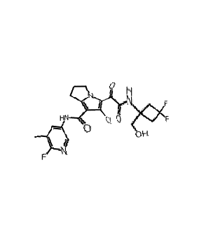 Cc1cc(NC(=O)c2c(Cl)c(C(=O)C(=O)NC3(CO)CC(F)(F)C3)n3c2CCC3)cnc1F